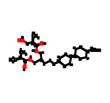 C=C(C)C(=O)OCC(CCCC1CCC(C2CCC(CCCCCCCCC)CC2)CC1)COC(=O)C(=C)CO